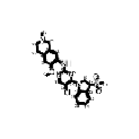 COc1cc2c(cc1Nc1ncc(Cl)c(N3CC(S(C)(=O)=O)c4ccccc43)n1)CN(C)CC2